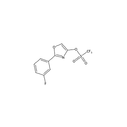 O=S(=O)(Oc1coc(-c2cccc(F)c2)n1)C(F)(F)F